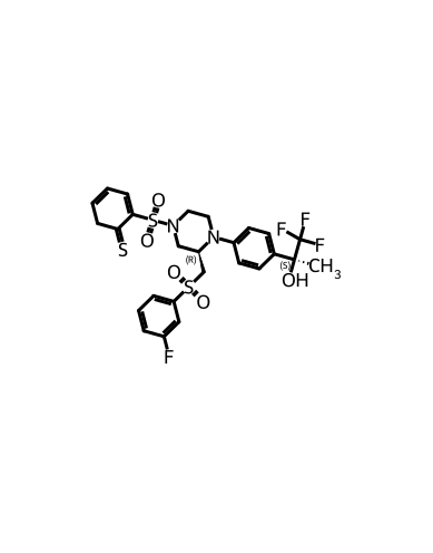 C[C@](O)(c1ccc(N2CCN(S(=O)(=O)C3=CC=CCC3=S)C[C@@H]2CS(=O)(=O)c2cccc(F)c2)cc1)C(F)(F)F